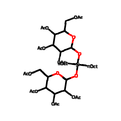 CCCCCCCC[Si](CCCCCCCC)(OC1OC(COC(C)=O)C(OC(C)=O)C(OC(C)=O)C1OC(C)=O)OC1OC(COC(C)=O)C(OC(C)=O)C(OC(C)=O)C1OC(C)=O